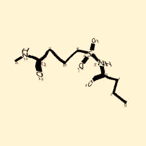 CCCC(=O)NS(=O)(=O)CCCC(=O)NC